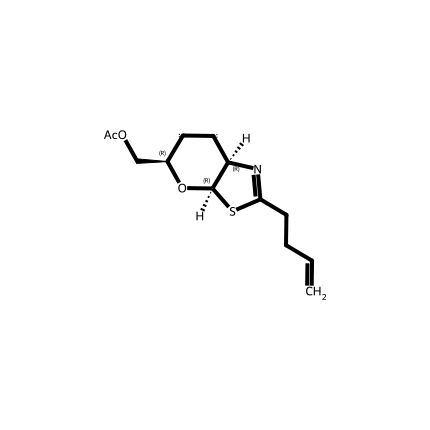 C=CCCC1=N[C@@H]2[C][C][C@H](COC(C)=O)O[C@@H]2S1